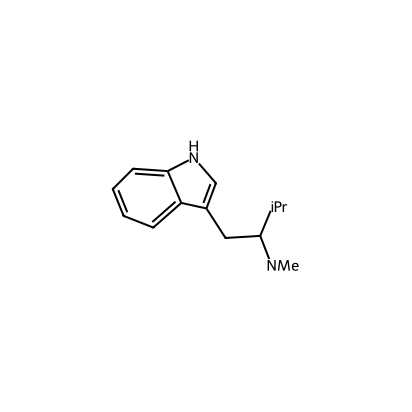 CNC(Cc1c[nH]c2ccccc12)C(C)C